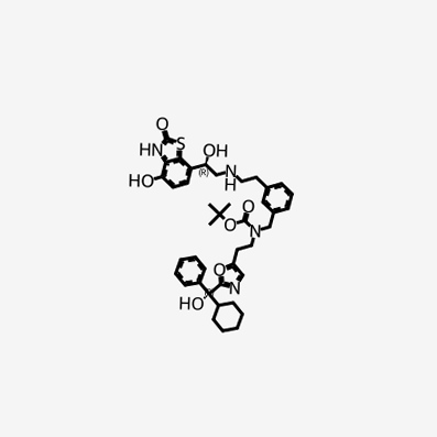 CC(C)(C)OC(=O)N(CCc1cnc([C@](O)(c2ccccc2)C2CCCCC2)o1)Cc1cccc(CCNC[C@H](O)c2ccc(O)c3[nH]c(=O)sc23)c1